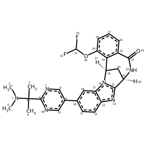 CN(C)C(C)(C)c1ncc(-c2ccc3nc4n(c3c2)[C@@H]2C[C@H]4NC(=O)c3cccc(OC(F)F)c32)cn1